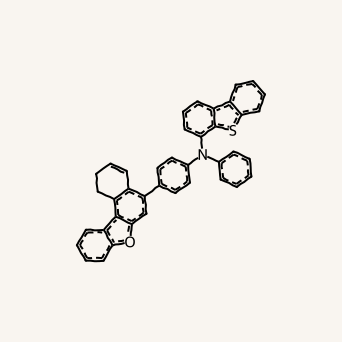 C1=Cc2c(-c3ccc(N(c4ccccc4)c4cccc5c4sc4ccccc45)cc3)cc3oc4ccccc4c3c2CC1